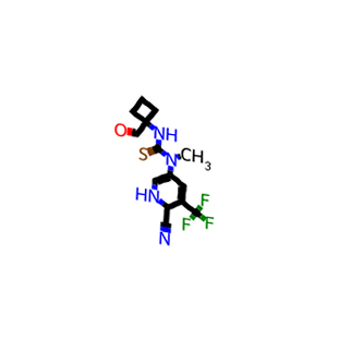 CN(C(=S)NC1(C=O)CCC1)C1=CNC(C#N)C(C(F)(F)F)=C1